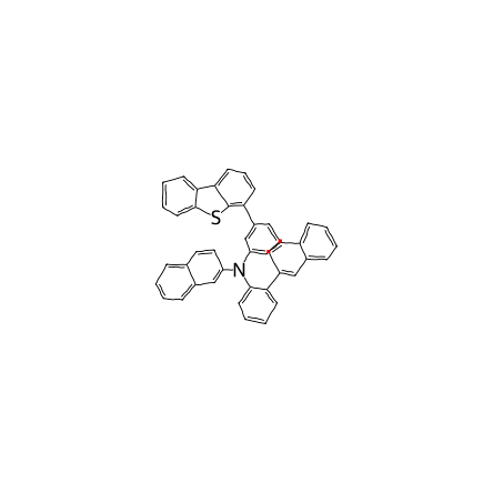 c1cc(-c2cccc3c2sc2ccccc23)cc(N(c2ccc3ccccc3c2)c2ccccc2-c2ccc3ccccc3c2)c1